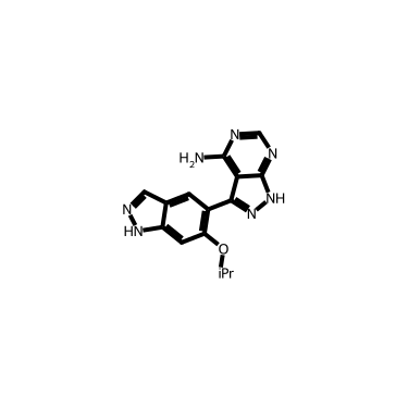 CC(C)Oc1cc2[nH]ncc2cc1-c1n[nH]c2ncnc(N)c12